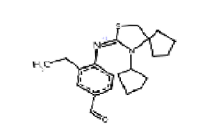 CCc1cc(C=O)ccc1/N=C1/SCC2(CCCC2)N1C1CCCC1